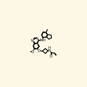 C=CC(=O)NC1CC(Oc2cc3c(Nc4ccc(C)c5c4CCC5)ncnc3cc2OC)C1